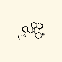 COc1ccccc1CN[C@@H]1CCCN[C@@H]1c1cccc2ccccc12